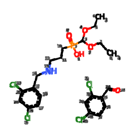 CCOC(OCC)P(=O)(O)CCCNCc1ccc(Cl)cc1Cl.O=Cc1ccc(Cl)cc1Cl